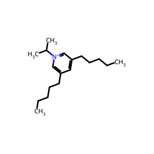 CCCCCc1cc(CCCCC)c[n+](C(C)C)c1